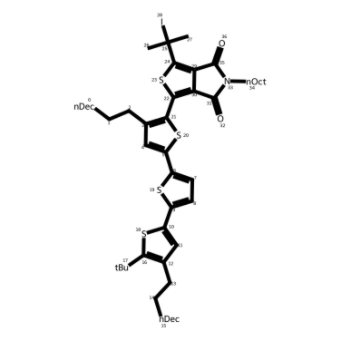 CCCCCCCCCCCCc1cc(-c2ccc(-c3cc(CCCCCCCCCCCC)c(C(C)(C)C)s3)s2)sc1-c1sc(C(C)(C)I)c2c1C(=O)N(CCCCCCCC)C2=O